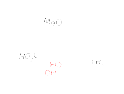 COCC(C)O.O=C(O)O